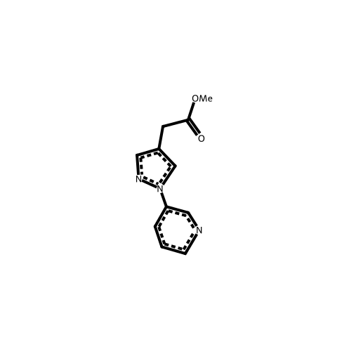 COC(=O)Cc1cnn(-c2cccnc2)c1